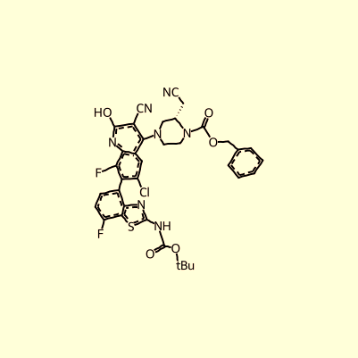 CC(C)(C)OC(=O)Nc1nc2c(-c3c(Cl)cc4c(N5CCN(C(=O)OCc6ccccc6)[C@@H](CC#N)C5)c(C#N)c(O)nc4c3F)ccc(F)c2s1